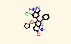 O=c1ccc2c(OC3CCCC3)c(-c3cc(Cl)c4[nH]ncc4c3)c(-c3ccccc3)nc2[nH]1